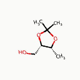 C[C@H]1OC(C)(C)O[C@H]1CO